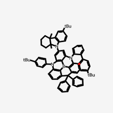 CC(C)(C)c1ccc(-c2ccccc2N2c3cc(N4c5ccc(C(C)(C)C)cc5C5(C)CCCCC45C)cc4c3B3c5c(cccc5C(c5ccccc5)(c5ccccc5)c5cccc2c53)N4c2ccc(C(C)(C)C)cc2)cc1